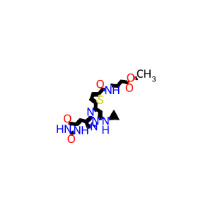 CCOC(=O)CCCNC(=O)c1ccc(-c2cc(NC3CC3)n3ncc(/C=C4\NC(=O)NC4=O)c3n2)s1